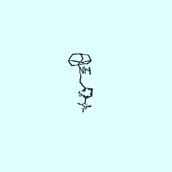 C[Si](C)(C)c1ccc(CNC23CC4CC(CC(C4)C2)C3)s1